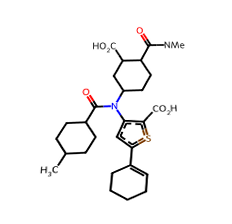 CNC(=O)C1CCC(N(C(=O)C2CCC(C)CC2)c2cc(C3=CCCCC3)sc2C(=O)O)CC1C(=O)O